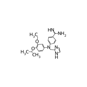 CCOc1cc(N(Cc2ncc[nH]2)c2ccc(C(=N)N)cc2)ccc1OC(C)C